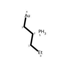 CCCC[CH2][Au].P